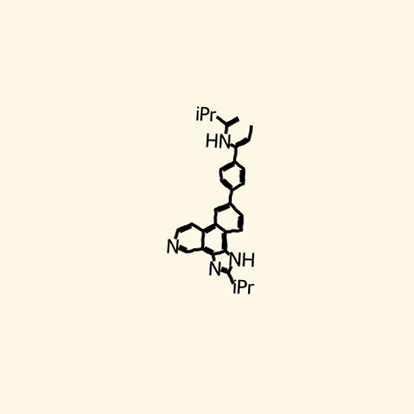 C=C(N/C(=C\C)c1ccc(-c2ccc3c(c2)c2ccncc2c2nc(C(C)C)[nH]c32)cc1)C(C)C